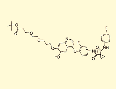 COc1cc2c(Oc3ccc(NC(=O)C4(C(=O)Nc5ccc(F)cc5)CC4)cc3F)ccnc2cc1OCCCOCCOCCC(=O)OC(C)(C)C